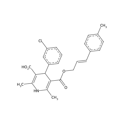 CC1=C(C(=O)O)C(c2cccc(Cl)c2)C(C(=O)OCC=Cc2ccc(C)cc2)=C(C)N1